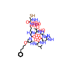 CC(C)C[C@H](NC(=O)[C@@H]1C[C@H](OCCCCc2ccccc2)CN1C(=O)CCCCCNC(=O)C(N)CS)C(=O)N[C@@H](CC1CN=CN1)C(=O)N[C@@H](CO)C(=O)N[C@H](C(N)=O)[C@@H](C)OP(=O)(O)O